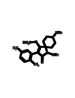 CCOC(=O)OC1=C(c2cc(C)ccc2C)C(=O)N(OC)C12CCN(OC)CC2